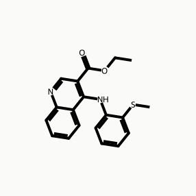 CCOC(=O)c1cnc2ccccc2c1Nc1ccccc1SC